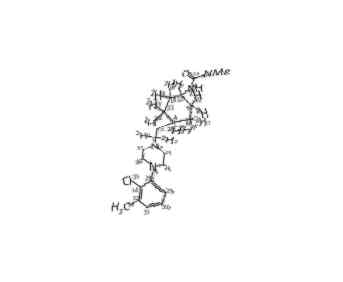 [2H]C([2H])(C[C@]1([2H])C([2H])([2H])C([2H])([2H])[C@@]([2H])(NC(=O)NC)C([2H])([2H])C1([2H])[2H])N1CCN(c2cccc(C)c2Cl)CC1